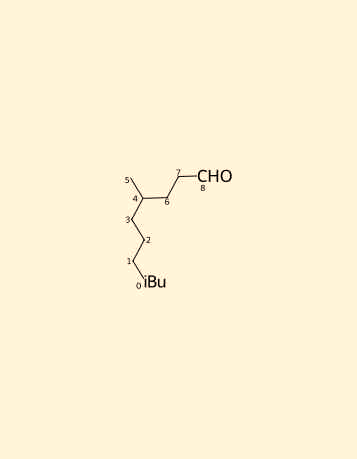 CCC(C)CCCC(C)CCC=O